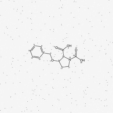 O=C(O)C1C(OCc2ccccc2)CCN1C(=O)O